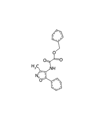 Cc1noc(-c2ccccc2)c1NC(=O)C(=O)OCc1ccccc1